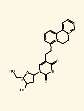 O=c1[nH]c(=O)n(C2CC(O)[C@@H](CO)O2)cc1CCc1cccc2[n+]1CC[n+]1ccccc1-2